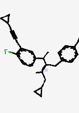 C/C(CC1CC1)=C(/Cc1ccc(C)cc1)C(C)c1ccc(F)c(C#CC2CC2)c1